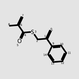 [CH]=C(CSC(=O)C(=C)C)c1ccccc1